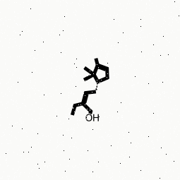 CCC(=CC[C@H]1CC=C(C)C1(C)C)CO